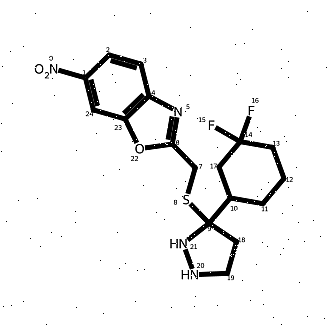 O=[N+]([O-])c1ccc2nc(CSC3(C4CCCC(F)(F)C4)CCNN3)oc2c1